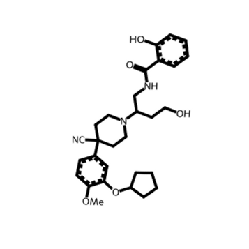 COc1ccc(C2(C#N)CCN(C(CCO)CNC(=O)c3ccccc3O)CC2)cc1OC1CCCC1